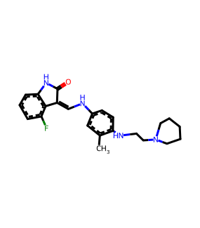 Cc1cc(NC=C2C(=O)Nc3cccc(F)c32)ccc1NCCN1CCCCC1